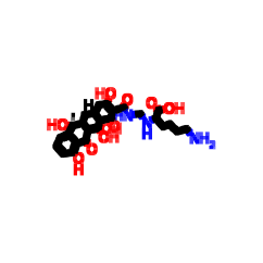 C[C@@]1(O)c2cccc(O)c2C(=O)C2=C(O)[C@]3(O)C(=O)C(C(=O)NCNC(CCCCN)C(=O)O)=C(O)C[C@@H]3CC21